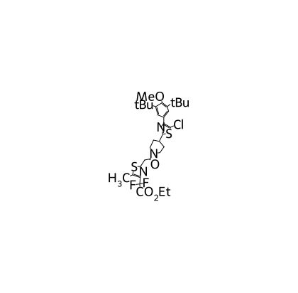 CCOC(=O)C(F)(F)c1nc(CC(=O)N2CCC(c3nc(-c4cc(C(C)(C)C)c(OC)c(C(C)(C)C)c4)c(Cl)s3)CC2)sc1C